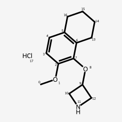 COc1ccc2c(c1OC1CNC1)CCCC2.Cl